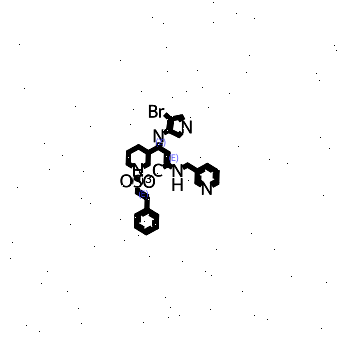 C/C(=C\C(=N/C1=C(Br)C=NC1)C1CCCN(S(=O)(=O)/C=C/c2ccccc2)C1)NCc1cccnc1